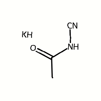 CC(=O)NC#N.[KH]